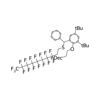 CCCCCCCCCCCCOc1c(C(SCCC(F)(F)C(F)(F)C(F)(F)C(F)(F)C(F)(F)C(F)(F)C(F)(F)C(F)(F)F)c2ccccc2)cc(C(C)(C)C)cc1C(C)(C)C